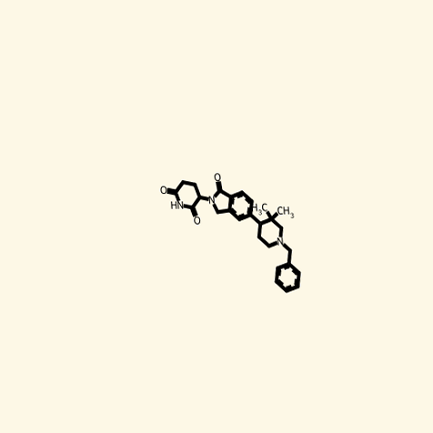 CC1(C)CN(Cc2ccccc2)CCC1c1ccc2c(c1)CN(C1CCC(=O)NC1=O)C2=O